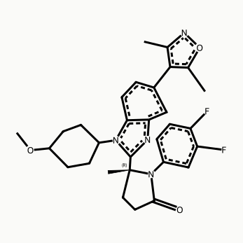 COC1CCC(n2c([C@@]3(C)CCC(=O)N3c3ccc(F)c(F)c3)nc3cc(-c4c(C)noc4C)ccc32)CC1